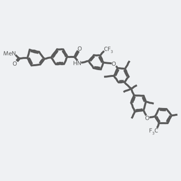 CNC(=O)c1ccc(-c2ccc(C(=O)Nc3ccc(Oc4c(C)cc(C(C)(C)c5cc(C)c(Oc6ccc(C)cc6C(F)(F)F)c(C)c5)cc4C)c(C(F)(F)F)c3)cc2)cc1